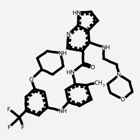 Cc1ccc(Nc2cc(OC3CCNCC3)cc(C(F)(F)F)c2)cc1NC(=O)c1cnc2[nH]ccc2c1NCCN1CCOCC1